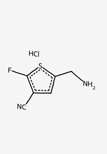 Cl.N#Cc1cc(CN)sc1F